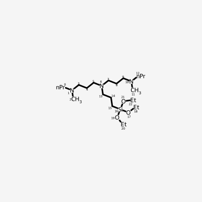 CCCN(C)CCCN(CCCN(C)CCC)CCC[Si](OCC)(OCC)OCC